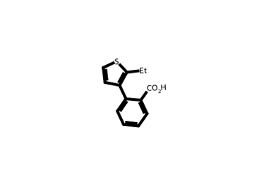 CCc1sccc1-c1ccccc1C(=O)O